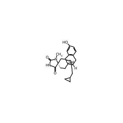 CN1C(=O)NC(=O)[C@@]12CC[C@@]1(O)[C@H]3Cc4ccc(O)cc4[C@@]1(CCN3CC1CC1)C2